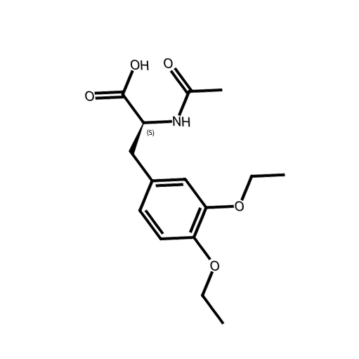 CCOc1ccc(C[C@H](NC(C)=O)C(=O)O)cc1OCC